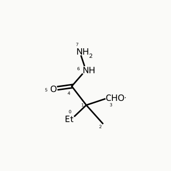 CCC(C)([C]=O)C(=O)NN